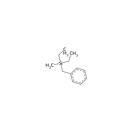 [CH2][Si](CC)(CC)Cc1ccccc1